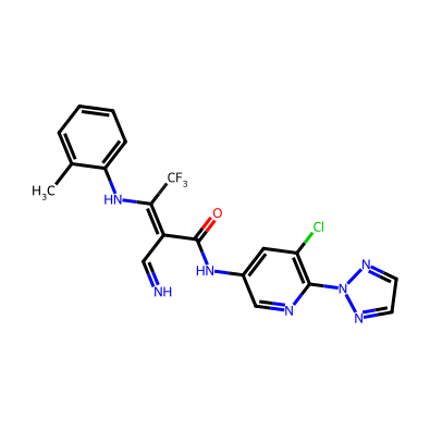 Cc1ccccc1N/C(=C(\C=N)C(=O)Nc1cnc(-n2nccn2)c(Cl)c1)C(F)(F)F